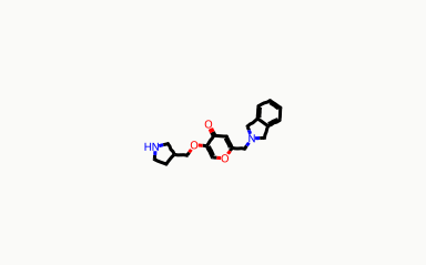 O=c1cc(CN2Cc3ccccc3C2)occ1OCC1CCNC1